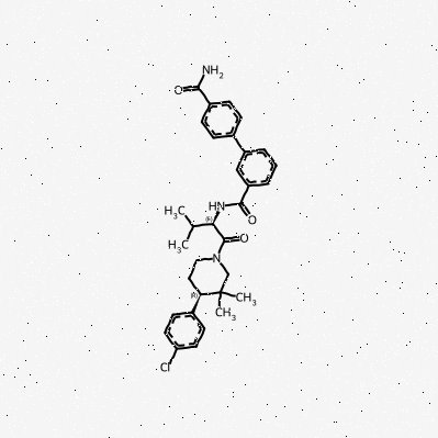 CC(C)[C@@H](NC(=O)c1cccc(-c2ccc(C(N)=O)cc2)c1)C(=O)N1CC[C@H](c2ccc(Cl)cc2)C(C)(C)C1